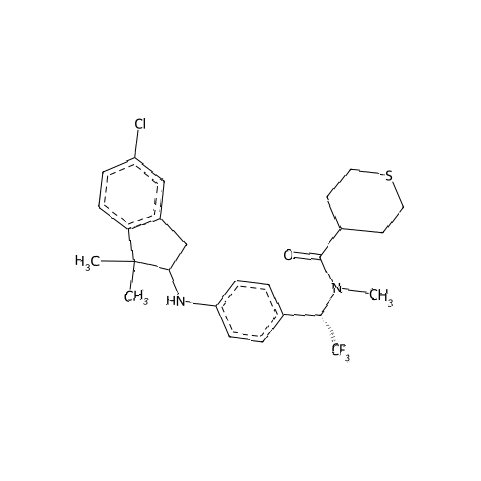 CN(C(=O)C1CCSCC1)[C@@H](c1ccc(NC2Cc3cc(Cl)ccc3C2(C)C)cc1)C(F)(F)F